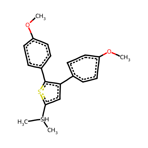 COc1ccc(-c2cc([SiH](C)C)sc2-c2ccc(OC)cc2)cc1